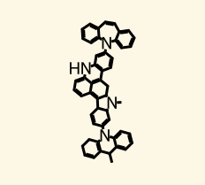 CC1C2=C(CCC=C2)N(C2=CC3C(C=C2)C2=c4cccc5c4=C(CC2N3C)c2ccc(N3c4ccccc4C=Cc4ccccc43)cc2N5)c2ccccc21